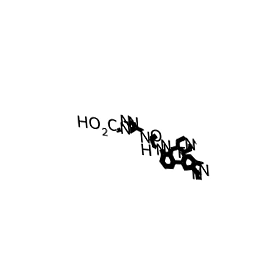 CN1CCC(c2nn(CC(=O)NCc3cn(CC(=O)O)nn3)c3cccc(-c4cc5c(cnn5C)cc4F)c23)CC1